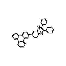 c1ccc(-c2nc3ccc(-c4ccc5c6ccccc6c6ccccc6c5c4)cc3nc2-c2ccccc2)cc1